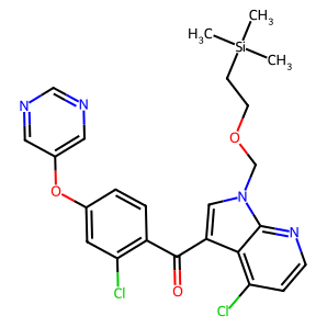 C[Si](C)(C)CCOCn1cc(C(=O)c2ccc(Oc3cncnc3)cc2Cl)c2c(Cl)ccnc21